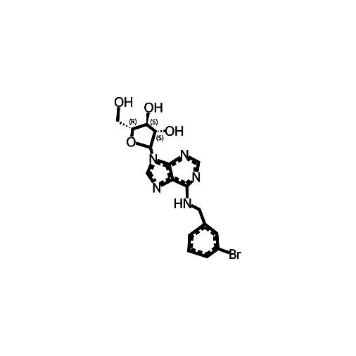 OC[C@H]1OC(n2cnc3c(NCc4cccc(Br)c4)ncnc32)[C@@H](O)[C@@H]1O